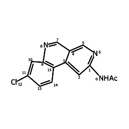 CC(=O)Nc1cc2c(cn1)cnc1cc(Cl)ccc12